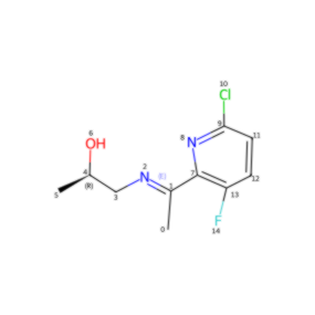 C/C(=N\C[C@@H](C)O)c1nc(Cl)ccc1F